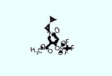 COC(=O)c1cn([C@H]2C[C@@H]2C2CC2)c(=O)cc1OS(=O)(=O)C(F)(F)F